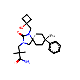 CN[C@]1(c2ccccc2)CC[C@]2(CC1)CN(CC(C)(C)C(N)=O)C(=O)N2CC1(O)CCC1